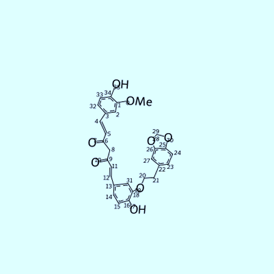 COc1cc(C=CC(=O)CC(=O)C=Cc2ccc(O)c(OCCc3ccc4c(c3)OCO4)c2)ccc1O